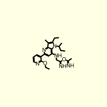 CCOc1ncccc1-c1cc(NCC(=N)OC(C)=N)c2c(n1)c(C)c(CC)n2C(C)CC